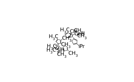 CC1=CC=C[C]1(C)[Zr]([C]1=CC(C(C)C)=CC1)[GeH]([CH3])[CH3].CC1=CC[C]([Zr]([SiH](C)C)[C]2(C)C=C(C)C(C)=C2C)=C1